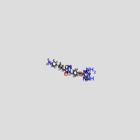 CN(C)c1ccc(-c2ccc(/C=C(\C#N)C(=O)NCc3ccc(COc4nc(N)nc5[nH]cnc45)cc3)s2)cc1